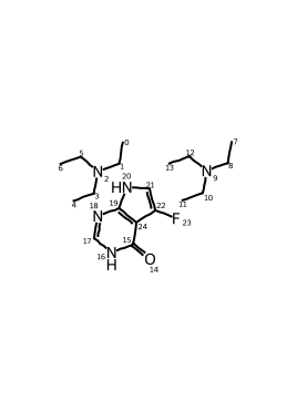 CCN(CC)CC.CCN(CC)CC.O=c1[nH]cnc2[nH]cc(F)c12